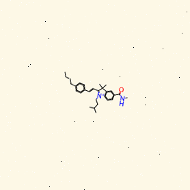 CCCCc1ccc(/C=C/C2=[N+](CCC(C)C)c3ccc(C(=O)NC)cc3C2(C)C)cc1